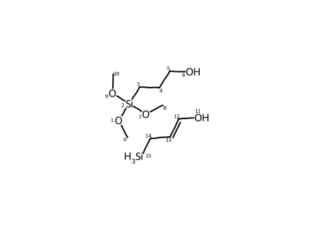 CO[Si](CCCO)(OC)OC.OC=CC[SiH3]